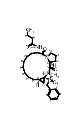 CP(=O)(Cc1ccccc1)[C@@]12C[C@H]1CCCCCCC[C@H](NC(=O)CCC(F)(F)F)C(=O)N1CCC[C@H]1C(=O)N2